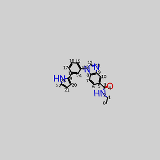 CCNC(=O)c1ccc2c(c1)ncn2-c1cccc(-c2ccc[nH]2)c1